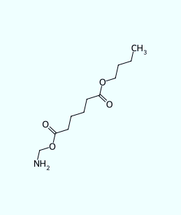 CCCCOC(=O)CCCCC(=O)OCN